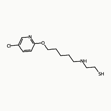 SCCNCCCCCOc1ccc(Cl)cn1